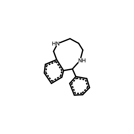 c1ccc(C2NCCCNCc3ccccc32)cc1